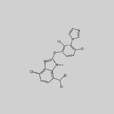 CCC(CC)c1ccc(Cl)c2nc(Oc3ccc(Cl)c(-n4ccnc4)c3Cl)n(C)c12